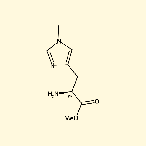 COC(=O)[C@@H](N)Cc1cn(C)cn1